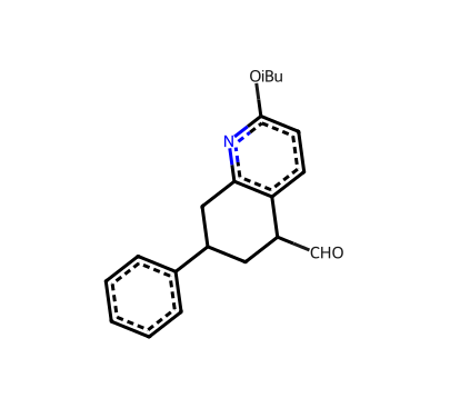 CC(C)COc1ccc2c(n1)CC(c1ccccc1)CC2C=O